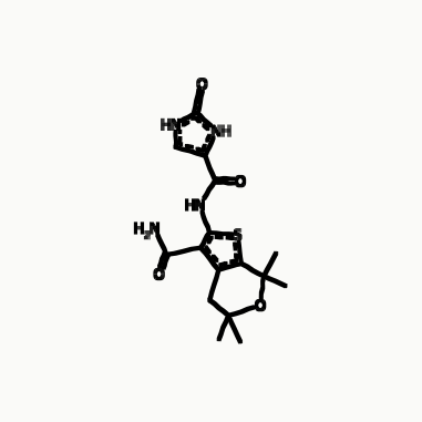 CC1(C)Cc2c(sc(NC(=O)c3c[nH]c(=O)[nH]3)c2C(N)=O)C(C)(C)O1